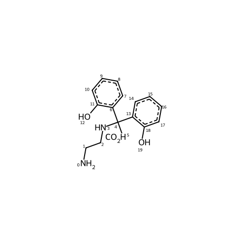 NCCNC(C(=O)O)(c1ccccc1O)c1ccccc1O